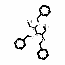 C=CC(OCc1ccccc1)[C@H](OCc1ccccc1)[C@@H](CO)OCc1ccccc1